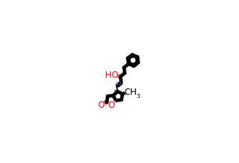 CC1CC2OC(=O)CC2[C@H]1/C=C/C(O)CCc1ccccc1